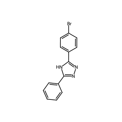 Brc1ccc(-c2nnc(-c3ccccc3)[nH]2)cc1